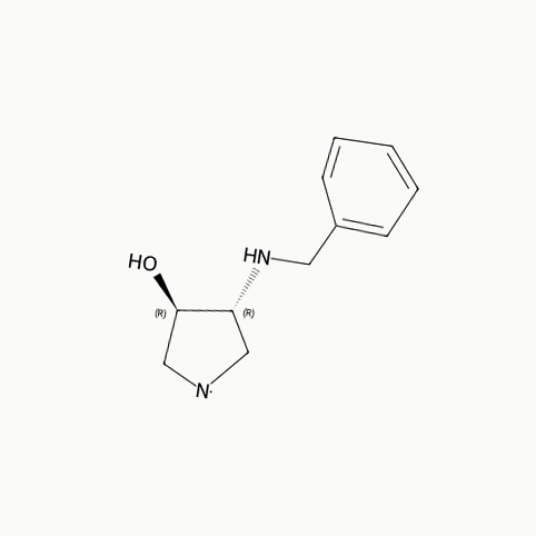 O[C@@H]1C[N]C[C@H]1NCc1ccccc1